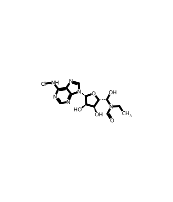 CCN(C=O)C(O)[C@H]1O[C@@H](n2cnc3c(NCl)ncnc32)[C@H](O)[C@@H]1O